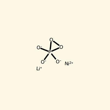 [Li+].[Ni+2].[O-]P1([O-])([O-])OO1